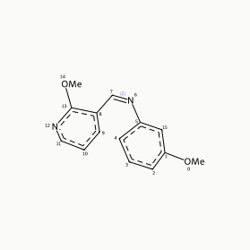 COc1cccc(/N=C\c2cccnc2OC)c1